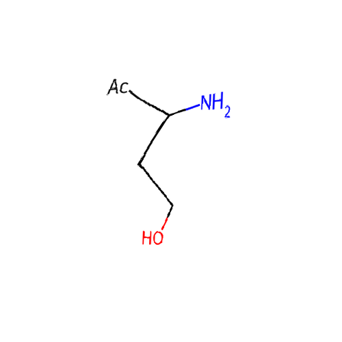 CC(=O)C(N)CCO